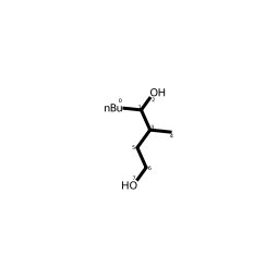 CCCCC(O)C(C)CCO